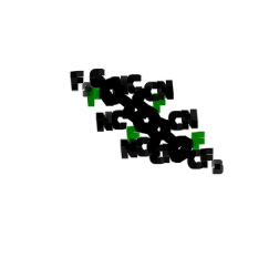 N#CC(C#N)=C1C(c2ccc(C(F)(F)F)c(F)c2)=C(C#N)c2c(F)c3c(c(F)c21)C(C#N)=C(c1ccc(C(F)(F)F)c(F)c1)C3=C(C#N)C#N